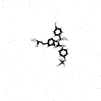 CC(=O)CCc1ccc2c(c1)nc(Nc1ccc(OC(F)(F)F)cc1)n2[C@H](C)c1ccc(F)cc1